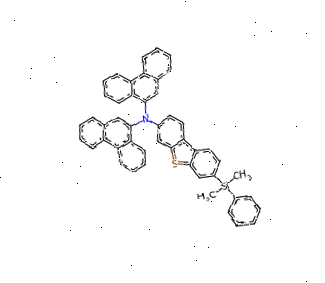 C[Si](C)(c1ccccc1)c1ccc2c(c1)sc1cc(N(c3cc4ccccc4c4ccccc34)c3cc4ccccc4c4ccccc34)ccc12